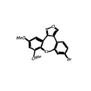 COc1cc(OC)c2c(c1)-c1nocc1-c1ccc(Br)cc1O2